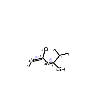 C/N=C(Cl)\N=C(\S)C(C)C